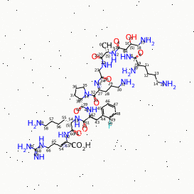 C[C@H](NC(=O)[C@@H](NC(=O)[C@@H](N)CCCCN)[C@@H](O)CN)C(=O)NCC(=O)/N=C(\CCCN)C(=O)N1CCC[C@H]1C(=O)N[C@@H](Cc1ccccc1F)C(=O)N[C@@H](CCCCN)C(=O)N/C(=C\CCNC(=N)N)C(=O)O